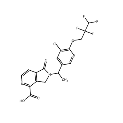 CC(c1cnc(OCC(F)(F)C(F)F)c(Cl)c1)N1Cc2c(ccnc2C(=O)O)C1=O